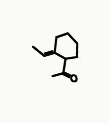 CC=C1CCCCC1C(C)=O